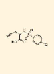 C#CCC(NS(=O)(=O)c1ccc(Cl)cc1)C(=O)O